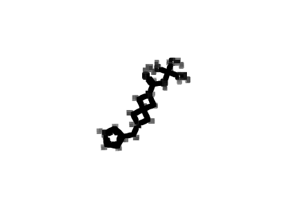 CC(C)(C)OC(=O)N1CC2(CN(Cc3ccsc3)C2)C1